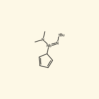 C[N](C)[Nb](=[N]C(C)(C)C)[CH]1C=CC=C1